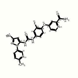 Cc1ccc(-n2nc(C(C)(C)C)cc2NC(=O)Nc2ccc(Oc3ccnc(C(N)=O)c3)c(F)c2)cn1